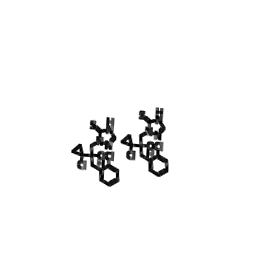 OC(Cc1ccccc1Cl)(Cn1nc[nH]c1=S)C1(Cl)CC1.OC(Cc1ccccc1Cl)(Cn1nc[nH]c1=S)C1(Cl)CC1